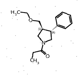 CCOC[C@@H]1CN(C(=O)CC)C[C@H]1c1ccccc1